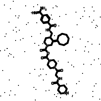 N=C(N)c1ccc(C(=O)NCC2CCN(C(=O)OC(=O)N3CCN(C(=O)CNC(=O)C4CCNCC4)CC3)CC2=C2CCCCCCC2)cc1